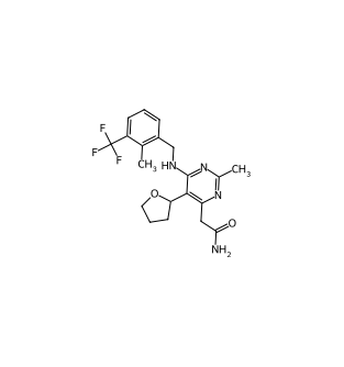 Cc1nc(CC(N)=O)c(C2CCCO2)c(NCc2cccc(C(F)(F)F)c2C)n1